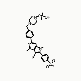 Cc1nc(-c2ccc(CN3CCN(CC(C)(C)O)CC3)cc2)cc2c1c(F)c(-c1ccc(S(C)(=O)=O)cc1)n2C